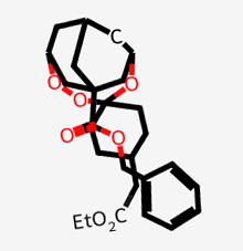 CCOC(=O)CC1CCC2(CC1)OOC1CC3CC(CC(C(=O)OCc4ccccc4)(C3)C1)O2